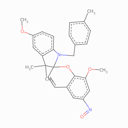 COc1ccc2c(c1)C(C)(C)C1(C=Cc3cc(N=O)cc(OC)c3O1)N2Cc1ccc(C)cc1